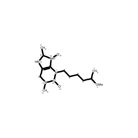 COC(C)CCCCN1C2=C(CN(C)[S+]1[O-])NC(C)[NH+]2[O-]